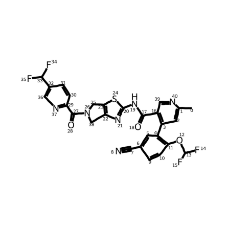 Cc1cc(-c2cc(C#N)ccc2OC(F)F)c(C(=O)Nc2nc3c(s2)CN(C(=O)c2ccc(C(F)F)cn2)C3)cn1